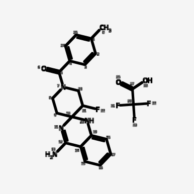 Cc1ccc(C(=O)N2CCC3(N=C(N)c4ccccc4N3)C(F)C2)cc1.O=C(O)C(F)(F)F